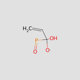 C=CC([O])(O)P=O